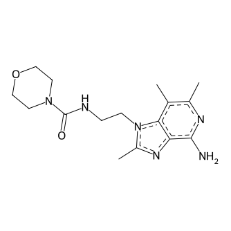 Cc1nc(N)c2nc(C)n(CCNC(=O)N3CCOCC3)c2c1C